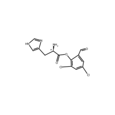 N[C@H](Cc1c[nH]cn1)C(=O)Oc1c(Cl)cc(Cl)cc1C=O